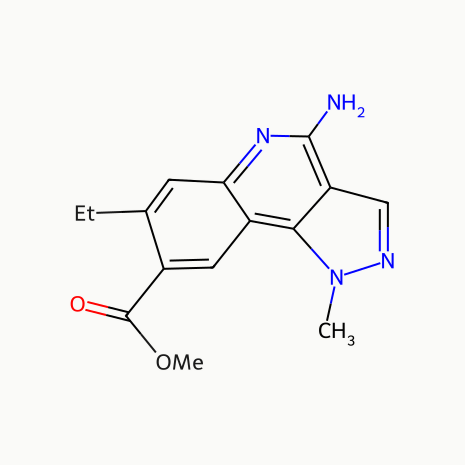 CCc1cc2nc(N)c3cnn(C)c3c2cc1C(=O)OC